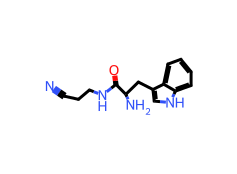 N#CCCNC(=O)C(N)Cc1c[nH]c2ccccc12